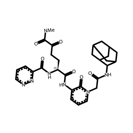 CNC(=O)C(=O)CC[C@H](NC(=O)c1cccnn1)C(=O)Nc1cccn(CC(=O)NC2C3CC4CC(C3)CC2C4)c1=O